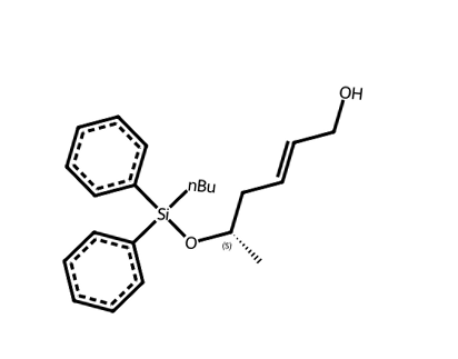 CCCC[Si](O[C@@H](C)CC=CCO)(c1ccccc1)c1ccccc1